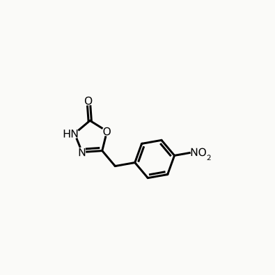 O=c1[nH]nc(Cc2ccc([N+](=O)[O-])cc2)o1